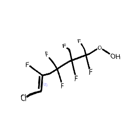 OOC(F)(F)C(F)(F)C(F)(F)/C(F)=C/Cl